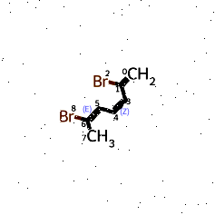 C=C(Br)/C=C\C=C(/C)Br